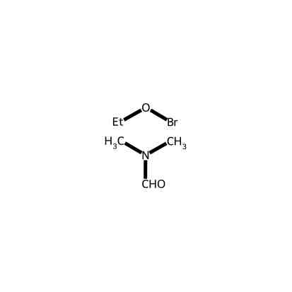 CCOBr.CN(C)C=O